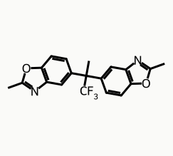 Cc1nc2cc(C(C)(c3ccc4oc(C)nc4c3)C(F)(F)F)ccc2o1